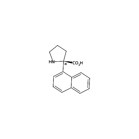 O=C(O)[C@]1(c2cccc3ccccc23)CCCN1